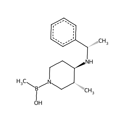 CB(O)N1CC[C@@H](N[C@@H](C)c2ccccc2)[C@H](C)C1